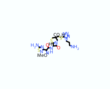 CON=C(C(=O)NC1C(=O)N2CC(CSc3nnnn3CCCN)(C(=O)O)CS[C@H]12)c1nsc(N)n1